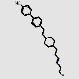 N#Cc1ccc(-c2ccc(CCC3CCC(CC/C=C/CCF)CC3)cc2)cc1